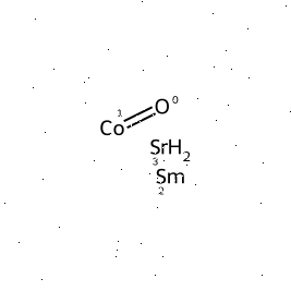 [O]=[Co].[Sm].[SrH2]